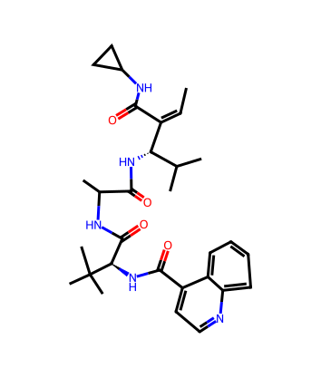 CC=C(C(=O)NC1CC1)[C@@H](NC(=O)C(C)NC(=O)[C@@H](NC(=O)c1ccnc2ccccc12)C(C)(C)C)C(C)C